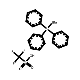 CC(C)(C)S(c1ccccc1)(c1ccccc1)c1ccccc1.O=S(=O)(O)C(F)(F)F